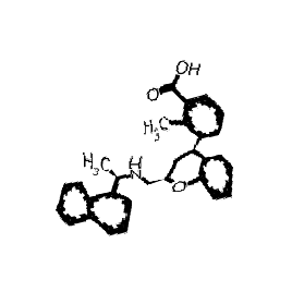 Cc1c(C(=O)O)cccc1[C@@H]1C[C@H](CN[C@H](C)c2cccc3ccccc23)Oc2ccccc21